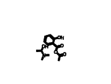 CC(=O)OC(=O)c1ccccc1O.CC(O)N(C)C